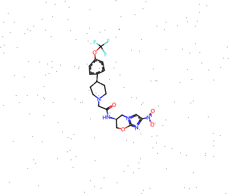 O=C(CN1CCC(c2ccc(OC(F)(F)F)cc2)CC1)N[C@@H]1COc2nc([N+](=O)[O-])cn2C1